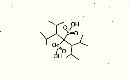 CC(C)C(C(C)C)C(C(C(C)C)C(C)C)(S(=O)(=O)O)S(=O)(=O)O